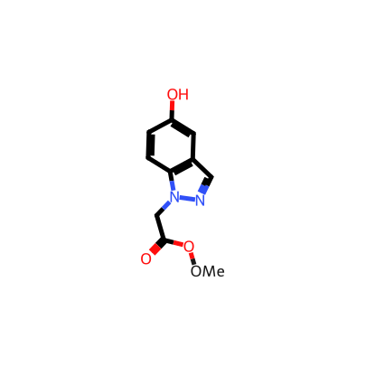 COOC(=O)Cn1ncc2cc(O)ccc21